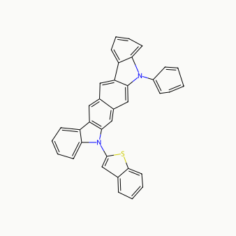 c1ccc(-n2c3ccccc3c3cc4cc5c6ccccc6n(-c6cc7ccccc7s6)c5cc4cc32)cc1